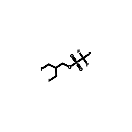 O=S(=O)(OCC(CF)CF)C(F)(F)F